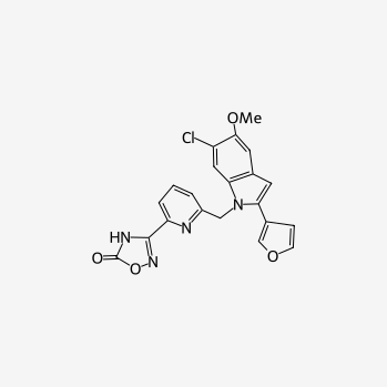 COc1cc2cc(-c3ccoc3)n(Cc3cccc(-c4noc(=O)[nH]4)n3)c2cc1Cl